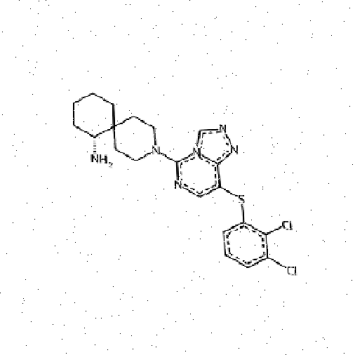 N[C@@H]1CCCCC12CCN(c1ncc(Sc3cccc(Cl)c3Cl)c3nncn13)CC2